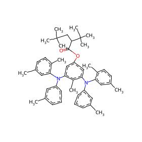 Cc1cccc(N(c2cc(C)ccc2C)c2cc(OC(=O)C(CC(C)(C)C)C(C)(C)C)cc(N(c3cccc(C)c3)c3cc(C)ccc3C)c2C)c1